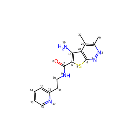 Cc1nnc2sc(C(=O)NCCc3ccccn3)c(N)c2c1C